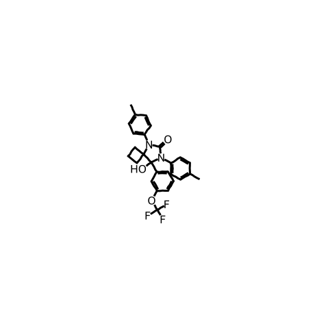 Cc1ccc(N2C(=O)N(c3ccc(C)cc3)C(O)(c3cccc(OC(F)(F)F)c3)C23CCC3)cc1